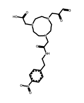 O=CC(=O)CN1CCN(CC(=O)O)CCN(CC(=O)NCCc2ccc([N+](=O)[O-])cc2)CC1